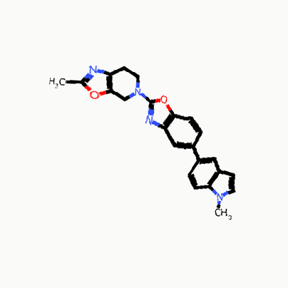 Cc1nc2c(o1)CN(c1nc3cc(-c4ccc5c(ccn5C)c4)ccc3o1)CC2